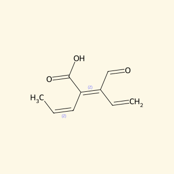 C=C/C(C=O)=C(\C=C/C)C(=O)O